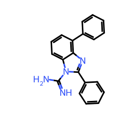 N=C(N)n1c(-c2ccccc2)nc2c(-c3ccccc3)cccc21